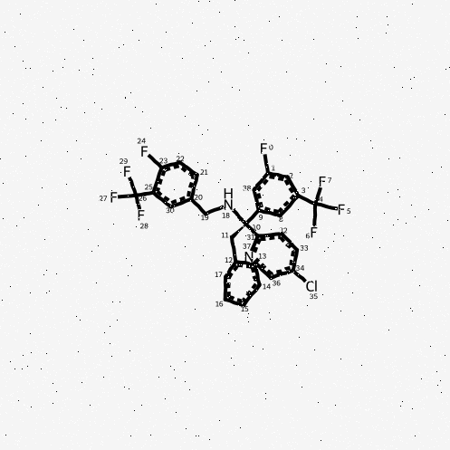 Fc1cc(C(F)(F)F)cc([C@@](Cc2ccccc2)(NCc2ccc(F)c(C(F)(F)F)c2)c2ccc(Cl)cn2)c1